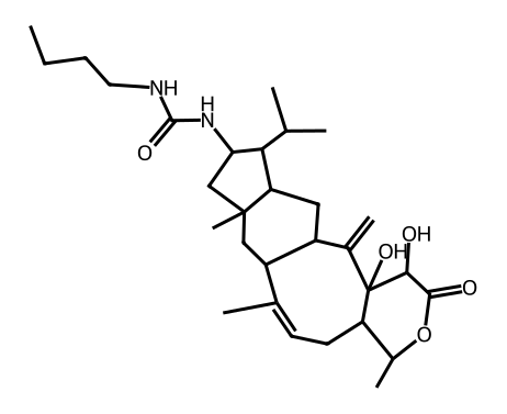 C=C1C2CC3C(C(C)C)C(NC(=O)NCCCC)CC3(C)CC2/C(C)=C\CC2C(C)OC(=O)C(O)C12O